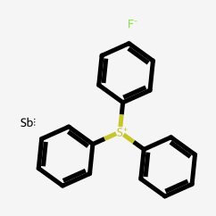 [F-].[Sb].c1ccc([S+](c2ccccc2)c2ccccc2)cc1